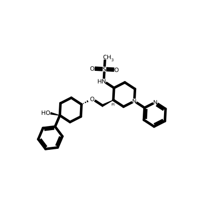 CS(=O)(=O)NC1CCN(c2ccccn2)C[C@H]1CO[C@H]1CC[C@@](O)(c2ccccc2)CC1